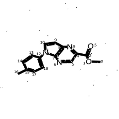 COC(=O)c1cnc2c(ccn2-c2ccc(C)cc2)n1